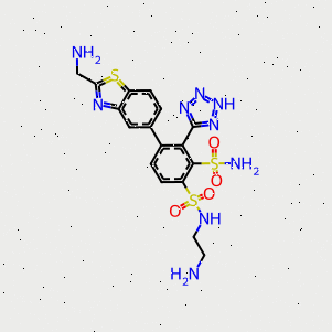 NCCNS(=O)(=O)c1ccc(-c2ccc3sc(CN)nc3c2)c(-c2nn[nH]n2)c1S(N)(=O)=O